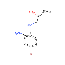 CNC(=O)CNc1ccc(Br)cc1N